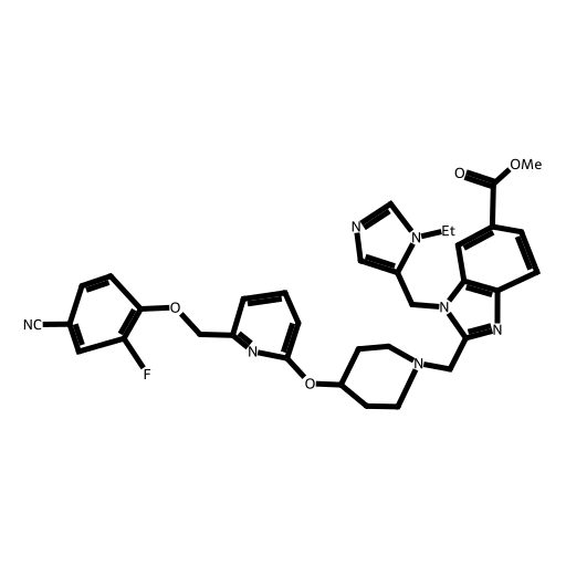 CCn1cncc1Cn1c(CN2CCC(Oc3cccc(COc4ccc(C#N)cc4F)n3)CC2)nc2ccc(C(=O)OC)cc21